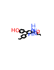 CCCC(=O)Nc1n[nH]c2cc(-c3ccc(O)cc3)c(-c3ccc(CC)cc3)cc12